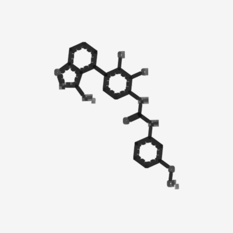 Nc1noc2cccc(-c3ccc(NC(=O)Nc4cccc(OC(F)(F)F)c4)c(Cl)c3Cl)c12